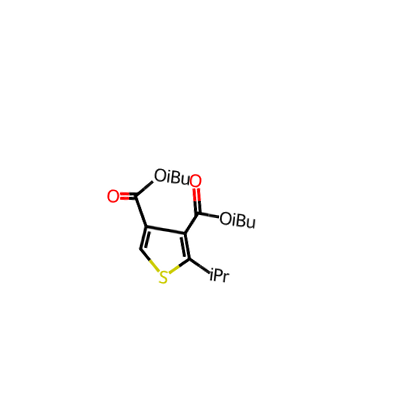 CC(C)COC(=O)c1csc(C(C)C)c1C(=O)OCC(C)C